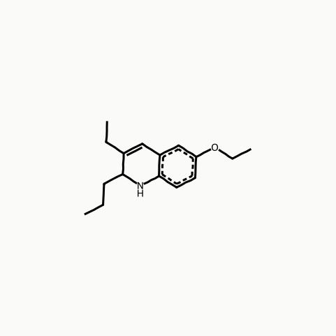 CCCC1Nc2ccc(OCC)cc2C=C1CC